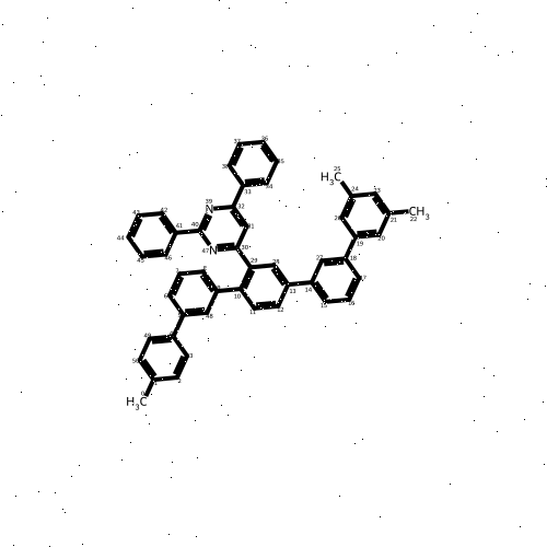 Cc1ccc(-c2cccc(-c3ccc(-c4cccc(-c5cc(C)cc(C)c5)c4)cc3-c3cc(-c4ccccc4)nc(-c4ccccc4)n3)c2)cc1